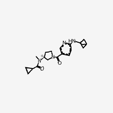 CN(C(=O)C1CC1)[C@H]1CCN(C(=O)c2ccc(NC34CC(C3)C4)nc2)C1